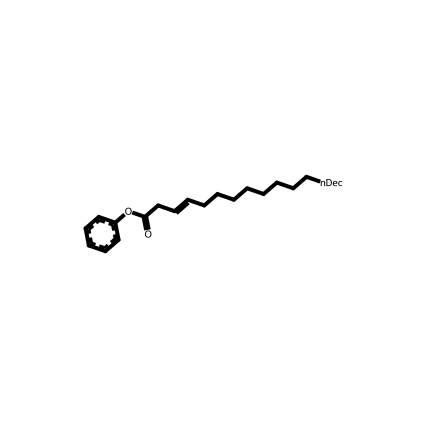 CCCCCCCCCCCCCCCCCC/C=C/CC(=O)Oc1ccccc1